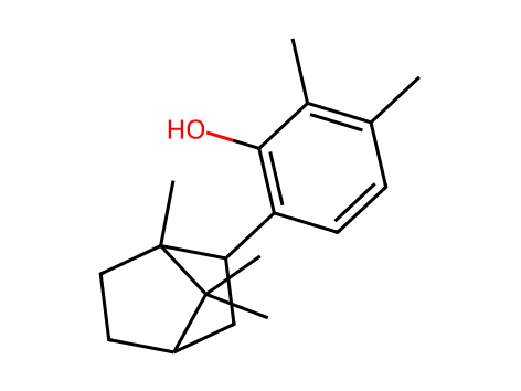 Cc1ccc(C2CC3CCC2(C)C3(C)C)c(O)c1C